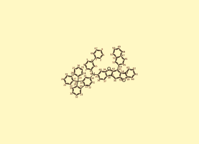 c1ccc(-c2cccc(N(c3ccc4c(c3)C(c3ccccc3)(c3ccccc3)c3ccccc3-4)c3ccc4c(c3)oc3c(-c5ccc6ccccc6c5)c5c(cc34)oc3ccccc35)c2)cc1